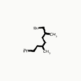 CCC(C)CC(C)C[CH]C(C)CCC(C)C